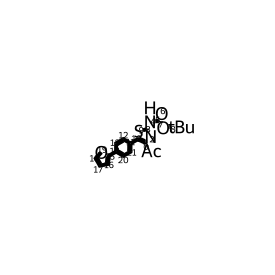 CC(=O)c1nc(NC(=O)OC(C)(C)C)sc1-c1ccc(-c2ccco2)cc1